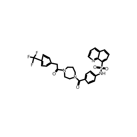 O=C(Cc1ccc(C(F)(F)F)cc1)N1CCCN(C(=O)c2ccc(NS(=O)(=O)c3cccc4cccnc34)cc2)CC1